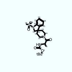 CC(NC(=O)OC(C)(C)C)C(=O)N1CCC2(CC1)CN(S(C)(=O)=O)c1ccccc12